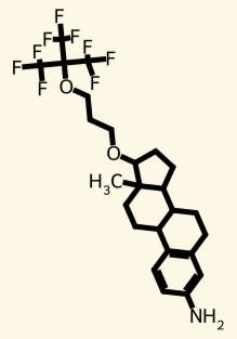 CC12CCC3c4ccc(N)cc4CCC3C1CCC2OCCCOC(C(F)(F)F)(C(F)(F)F)C(F)(F)F